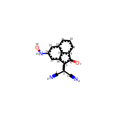 N#CC(C#N)=c1c(=O)c2cccc3cc(N=O)cc1c32